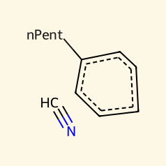 C#N.CCCCCc1ccccc1